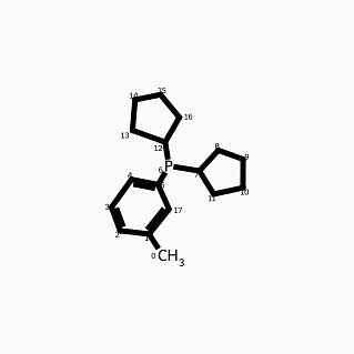 Cc1cccc(P(C2CCCC2)C2CCCC2)c1